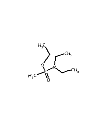 CCOP(C)(=O)N(CC)CC